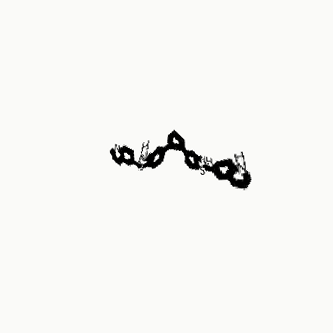 C1=Cc2cc(C3Nc4cc(-c5cccc(-c6ccc7c(c6)NC(c6ccc8ncccc8c6)S7)c5)ccc4S3)ccc2NC1